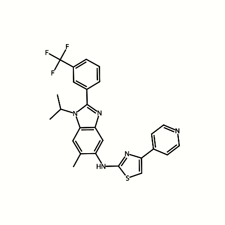 Cc1cc2c(cc1Nc1nc(-c3ccncc3)cs1)nc(-c1cccc(C(F)(F)F)c1)n2C(C)C